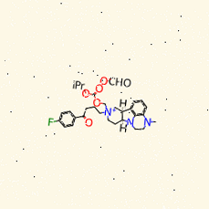 CC(C)OC(=O)OC[N+]1(CCCC(=O)c2ccc(F)cc2)CC[C@H]2[C@@H](C1)c1cccc3c1N2CCN3C.O=C[O-]